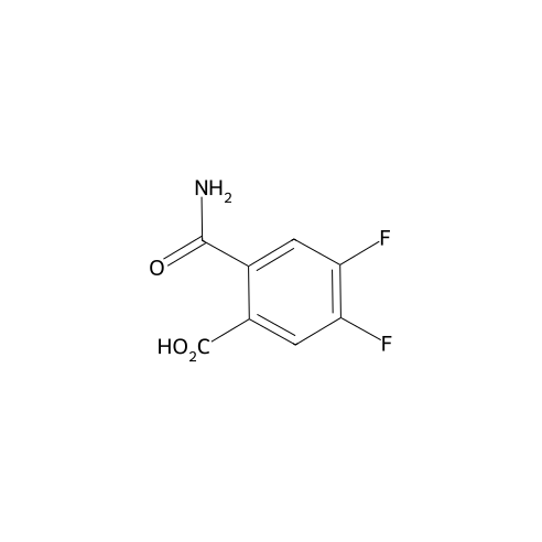 NC(=O)c1cc(F)c(F)cc1C(=O)O